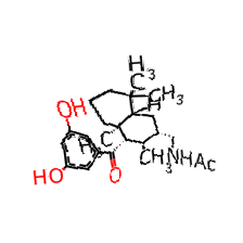 CC(=O)NC[C@H]1C[C@H]2C(C)(C)CCC[C@]2(C)[C@@H](C(=O)c2cc(O)cc(O)c2)[C@@H]1C